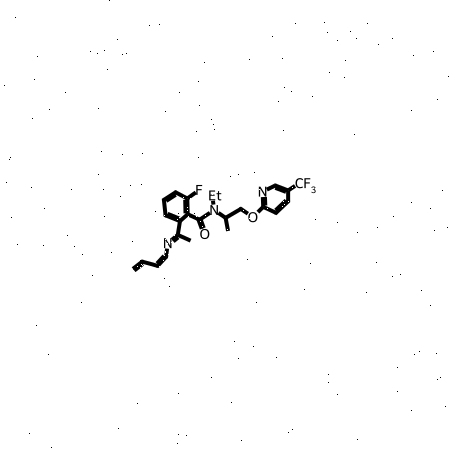 C=C/C=C\N=C(/C)c1cccc(F)c1C(=O)N(CC)C(C)COc1ccc(C(F)(F)F)cn1